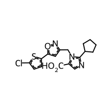 O=C(O)c1cnc(C2CCCC2)n1Cc1cc(-c2ccc(Cl)s2)on1